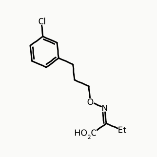 CCC(=NOCCCc1cccc(Cl)c1)C(=O)O